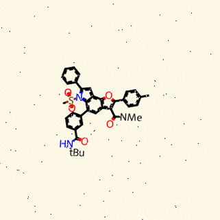 CNC(=O)c1c(-c2ccc(C)cc2)oc2c1cc(-c1cccc(C(=O)NC(C)(C)C)c1)c1c2cc(-c2ccccc2)n1S(C)(=O)=O